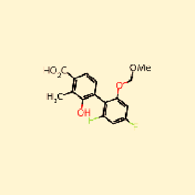 COCOc1cc(F)cc(F)c1-c1ccc(C(=O)O)c(C)c1O